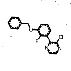 Fc1c(OCc2ccccc2)cccc1-c1nccnc1Cl